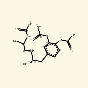 CCCC(=O)Oc1ccc(C[C@H](NCC(C)OC(=O)CCC)C(=O)O)cc1OC(=O)CCC